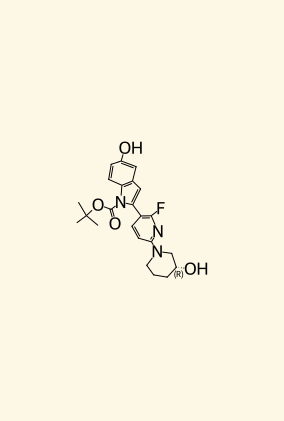 CC(C)(C)OC(=O)n1c(-c2ccc(N3CCC[C@@H](O)C3)nc2F)cc2cc(O)ccc21